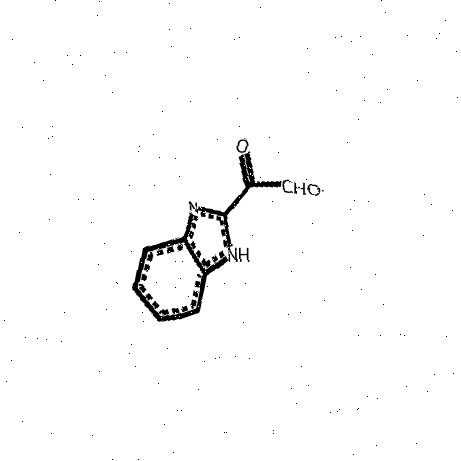 O=[C]C(=O)c1nc2ccccc2[nH]1